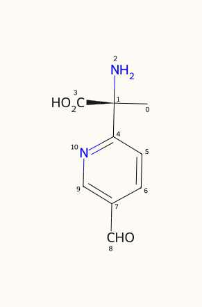 C[C@](N)(C(=O)O)c1ccc(C=O)cn1